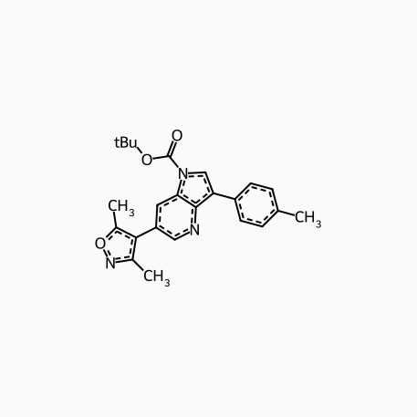 Cc1ccc(-c2cn(C(=O)OC(C)(C)C)c3cc(-c4c(C)noc4C)cnc23)cc1